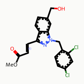 COC(=O)/C=C/c1nn(Cc2ccc(Cl)cc2Cl)c2cc(CO)ccc12